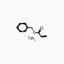 C=CC(=O)OCc1ccccc1.[CaH2]